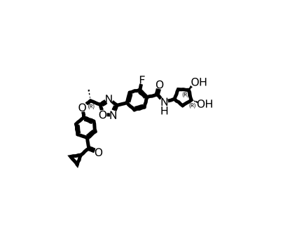 C[C@@H](Oc1ccc(C(=O)C2CC2)cc1)c1nc(-c2ccc(C(=O)NC3C[C@@H](O)[C@H](O)C3)c(F)c2)no1